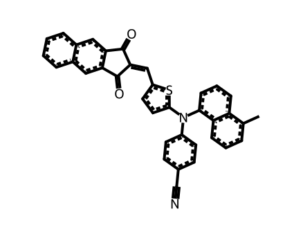 Cc1cccc2c(N(c3ccc(C#N)cc3)c3ccc(C=C4C(=O)c5cc6ccccc6cc5C4=O)s3)cccc12